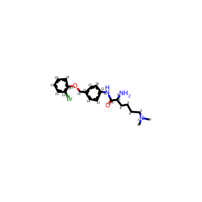 CN(C)CCCCC(N)C(=O)Nc1ccc(COc2ccccc2Br)cc1